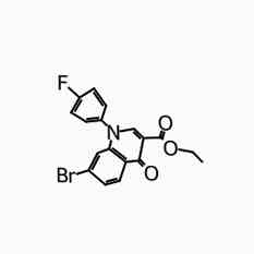 CCOC(=O)c1cn(-c2ccc(F)cc2)c2cc(Br)ccc2c1=O